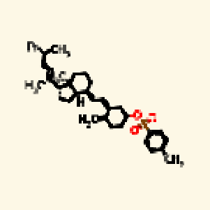 C=C1CC[C@H](OS(=O)(=O)c2ccc(C)cc2)C/C1=C/C=C1\CCCC2(C)[C@@H]([C@H](C)/C=C/[C@H](C)C(C)C)CC[C@@H]12